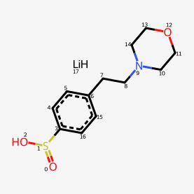 O=S(O)c1ccc(CCN2CCOCC2)cc1.[LiH]